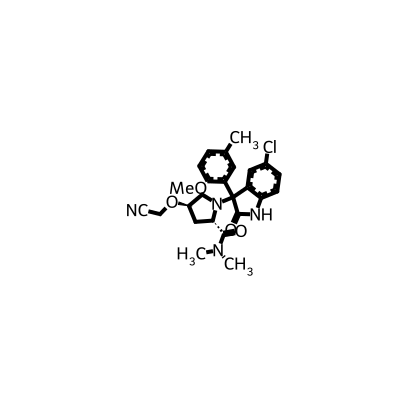 COc1ccc(C)cc1C1(N2C[C@H](OCC#N)C[C@H]2C(=O)N(C)C)C(=O)Nc2ccc(Cl)cc21